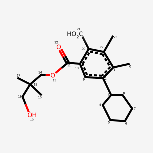 Cc1c(C2CCCCC2)cc(C(=O)OCC(C)(C)CO)c(C(=O)O)c1C